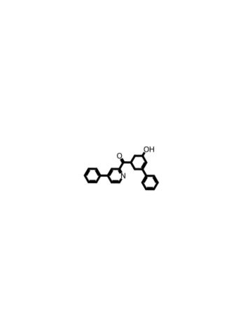 O=C(c1cc(-c2ccccc2)ccn1)C1CC(c2ccccc2)=CC(O)C1